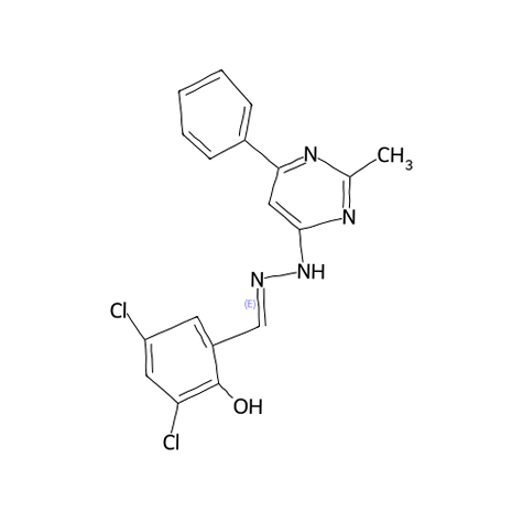 Cc1nc(N/N=C/c2cc(Cl)cc(Cl)c2O)cc(-c2ccccc2)n1